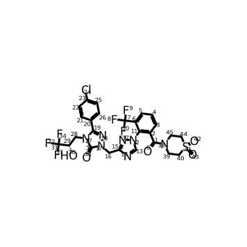 O=C(c1cccc(C(F)(F)F)c1-n1cnc(Cn2nc(-c3ccc(Cl)cc3)n(C[C@H](O)C(F)(F)F)c2=O)n1)N1CCS(=O)(=O)CC1